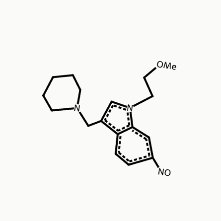 COCCn1cc(CN2CCCCC2)c2ccc(N=O)cc21